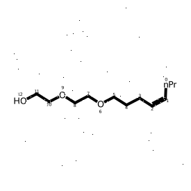 CCC/C=C\CCCOCCOCCO